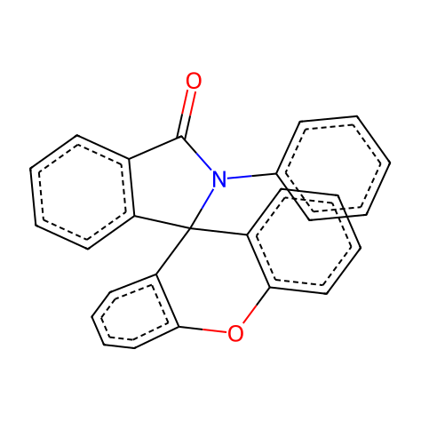 O=C1c2ccccc2C2(c3ccccc3Oc3ccccc32)N1c1ccccc1